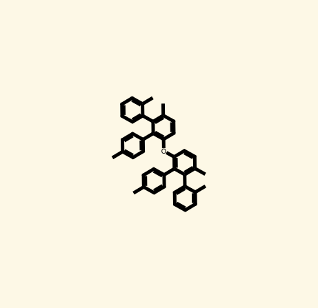 Cc1ccc(-c2c(Oc3ccc(C)c(-c4ccccc4C)c3-c3ccc(C)cc3)ccc(C)c2-c2ccccc2C)cc1